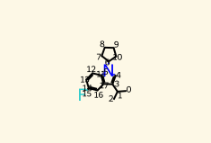 CC(C)c1cn(C2CCCC2)c2ccc(F)cc12